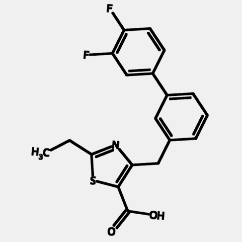 CCc1nc(Cc2cccc(-c3ccc(F)c(F)c3)c2)c(C(=O)O)s1